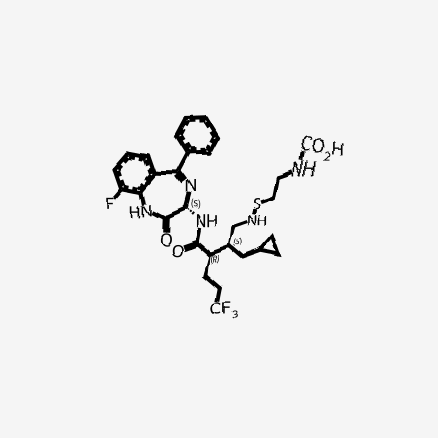 O=C(O)NCCSNC[C@@H](CC1CC1)[C@@H](CCC(F)(F)F)C(=O)N[C@H]1N=C(c2ccccc2)c2cccc(F)c2NC1=O